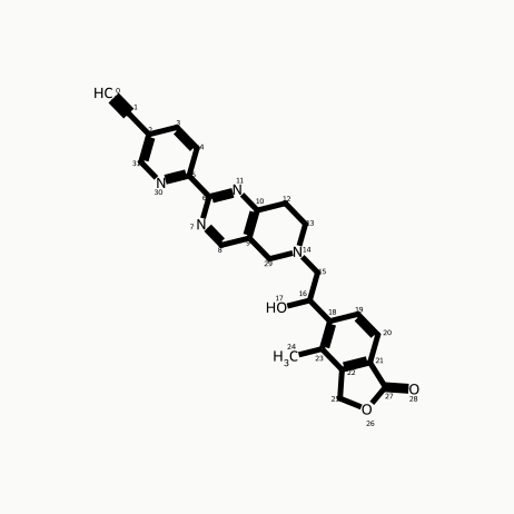 C#Cc1ccc(-c2ncc3c(n2)CCN(CC(O)c2ccc4c(c2C)COC4=O)C3)nc1